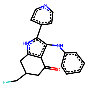 O=C1CC(CF)Cc2[nH]c(-c3ccncc3)c(Nc3ccccc3)c21